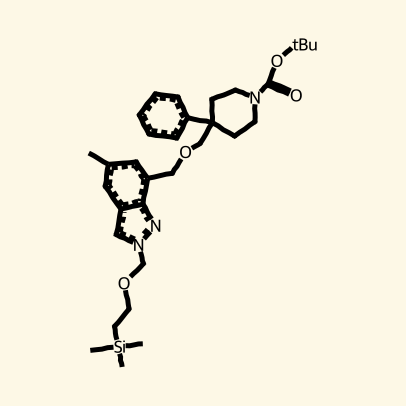 Cc1cc(COCC2(c3ccccc3)CCN(C(=O)OC(C)(C)C)CC2)c2nn(COCC[Si](C)(C)C)cc2c1